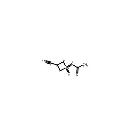 CC(=O)N=S1(=O)CC(C#N)C1